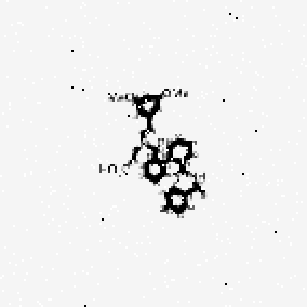 COc1cc(CCN(CCC(=O)O)C(=O)c2ccccc2-c2ccccc2C(=O)NC(C)c2ccc(F)cc2)cc(OC)c1